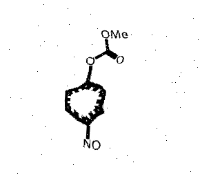 COC(=O)Oc1ccc(N=O)cc1